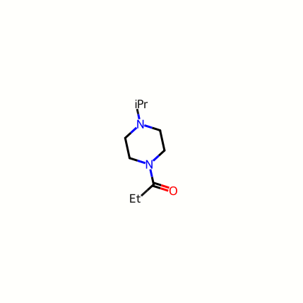 CCC(=O)N1CCN(C(C)C)CC1